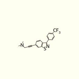 CN(C)CC#Cc1ccc2c(-c3ccc(C(F)(F)F)cc3)nsc2c1